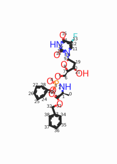 C[C@H](NP(=O)(OC[C@H]1O[C@@H](n2cc(F)c(=O)[nH]c2=O)CC1O)Oc1ccccc1)C(=O)OCc1ccccc1